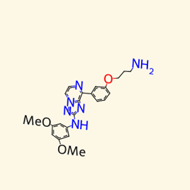 COc1cc(Nc2nc3c(-c4cccc(OCCCN)c4)nccn3n2)cc(OC)c1